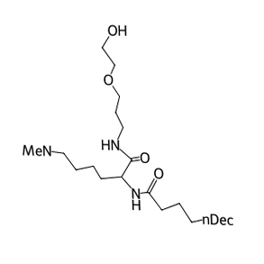 CCCCCCCCCCCCCC(=O)NC(CCCCNC)C(=O)NCCCOCCO